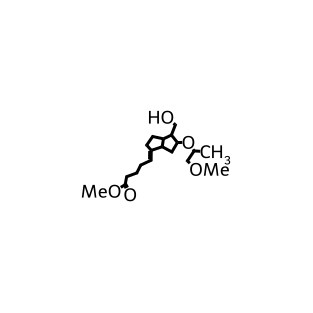 COCC(C)OC1CC2C(=CCCCC(=O)OC)CCC2C1CO